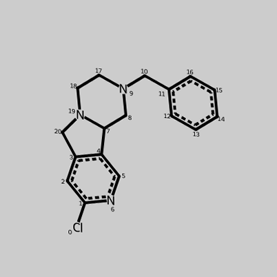 Clc1cc2c(cn1)C1CN(Cc3ccccc3)CCN1C2